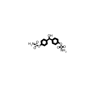 NS(=O)(=O)Oc1ccc(C(O)c2ccc(OS(N)(=O)=O)cc2)cc1